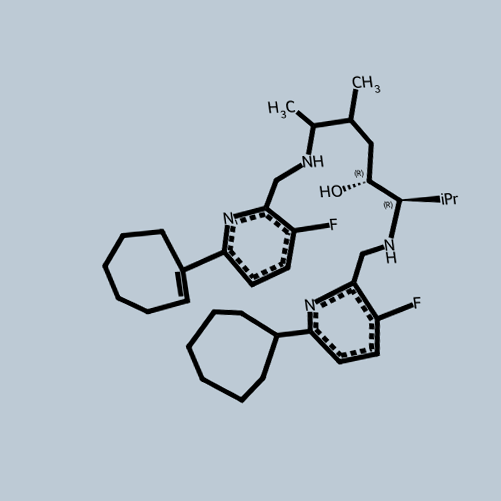 CC(C[C@@H](O)[C@H](NCc1nc(C2CCCCCC2)ccc1F)C(C)C)C(C)NCc1nc(C2=CCCCCC2)ccc1F